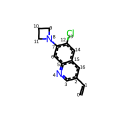 C=Cc1cnc2cc(N3CCC3)c(Cl)cc2c1